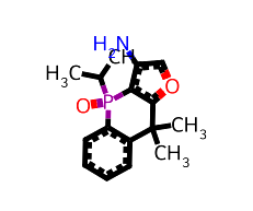 CC(C)P1(=O)c2ccccc2C(C)(C)c2occ(N)c21